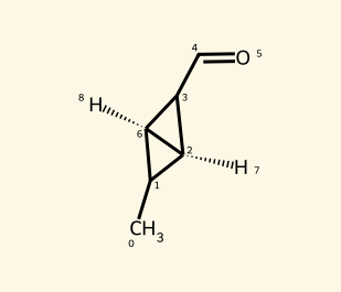 CC1[C@@H]2C(C=O)[C@H]12